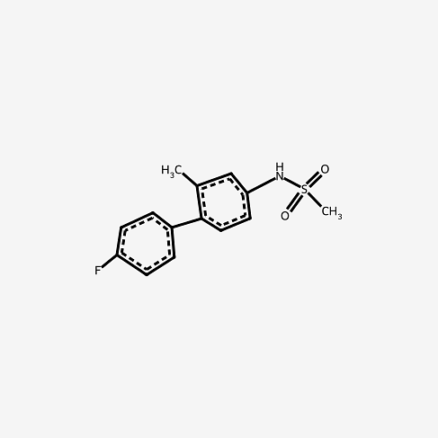 Cc1cc(NS(C)(=O)=O)ccc1-c1ccc(F)cc1